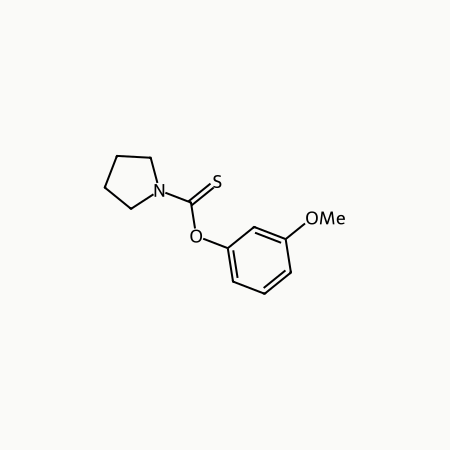 COc1cccc(OC(=S)N2CCCC2)c1